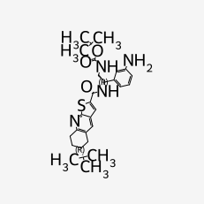 CC(C)(C)OC(=O)NC[C@H](NC(=O)c1cc2cc3c(nc2s1)CC[C@@H](C(C)(C)C)C3)c1cccc(N)c1